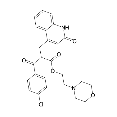 O=C(OCCN1CCOCC1)C(Cc1cc(=O)[nH]c2ccccc12)C(=O)c1ccc(Cl)cc1